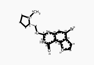 CN1CCC[C@H]1COc1nc2cc(Br)c3ccoc3c2c(=O)[nH]1